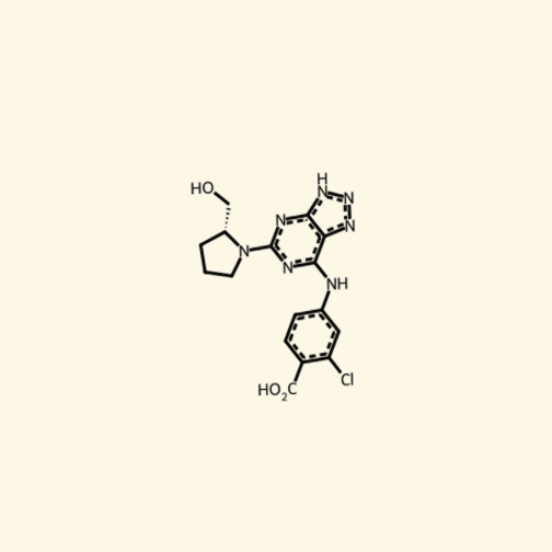 O=C(O)c1ccc(Nc2nc(N3CCC[C@@H]3CO)nc3[nH]nnc23)cc1Cl